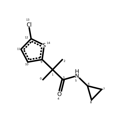 CC(C)(C(=O)NC1CC1)c1ccc(Cl)s1